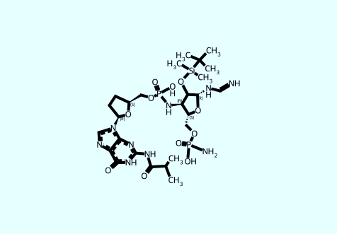 CC(C)C(=O)Nc1nc2c(ncn2[C@H]2CC[C@@H](COP(=O)(O)N[C@H]3C(O[Si](C)(C)C(C)(C)C)[C@H](NC=N)O[C@@H]3COP(N)(=O)O)O2)c(=O)[nH]1